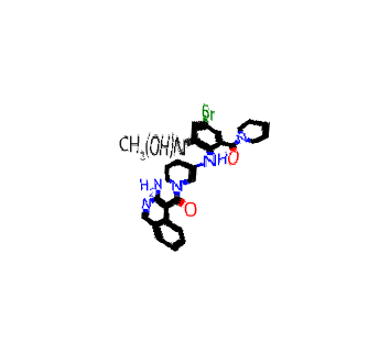 CN(O)c1cc(Br)cc(C(=O)N2CCCCC2)c1N[C@@H]1CCCN(C(=O)c2c(N)ncc3ccccc23)C1